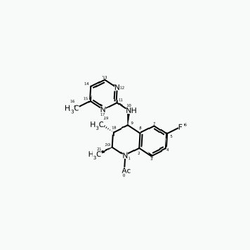 CC(=O)N1c2ccc(F)cc2[C@H](Nc2nccc(C)n2)[C@@H](C)[C@@H]1C